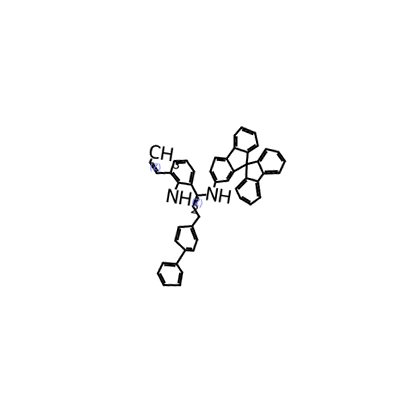 C/C=C\c1cccc(/C(=C/Cc2ccc(-c3ccccc3)cc2)Nc2ccc3c(c2)C2(c4ccccc4-c4ccccc42)c2ccccc2-3)c1N